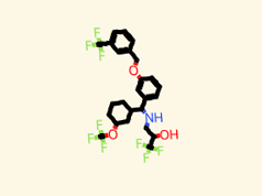 OC(CNC(c1cccc(OCc2cccc(C(F)(F)F)c2)c1)C1CCCC(OC(F)(F)F)C1)C(F)(F)F